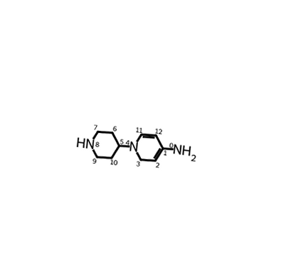 NC1=CCN(C2CCNCC2)C=C1